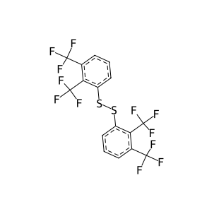 FC(F)(F)c1cccc(SSc2cccc(C(F)(F)F)c2C(F)(F)F)c1C(F)(F)F